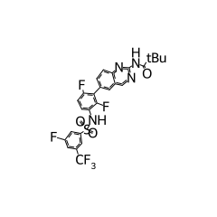 CC(C)(C)C(=O)Nc1ncc2cc(-c3c(F)ccc(NS(=O)(=O)c4cc(F)cc(C(F)(F)F)c4)c3F)ccc2n1